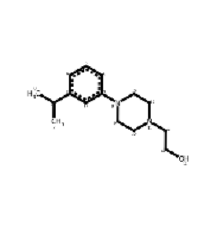 CC(C)c1cccc(N2CCN(CCO)CC2)c1